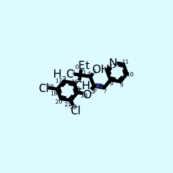 CCC(C)(C)C(O)/C(=C\c1cccnc1)Oc1ccc(Cl)cc1Cl